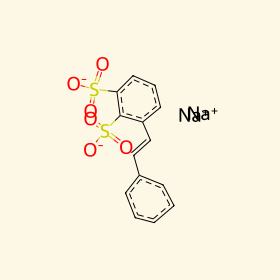 O=S(=O)([O-])c1cccc(C=Cc2ccccc2)c1S(=O)(=O)[O-].[Na+].[Na+]